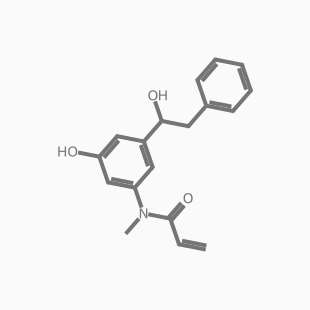 C=CC(=O)N(C)c1cc(O)cc(C(O)Cc2ccccc2)c1